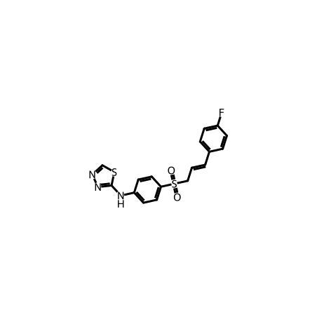 O=S(=O)(CC=Cc1ccc(F)cc1)c1ccc(Nc2nncs2)cc1